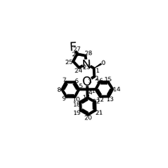 C[C@@H](COC(c1ccccc1)(c1ccccc1)c1ccccc1)N1CCC(F)C1